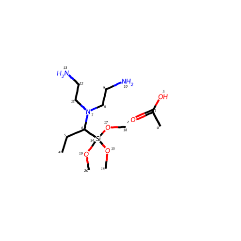 CC(=O)O.CCC(N(CCN)CCN)[Si](OC)(OC)OC